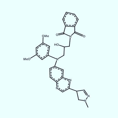 COc1cc(OC)cc(N(CC(O)CN2C(=O)c3ccccc3C2=O)c2ccc3ncc(C4C=NN(C)C4)nc3c2)c1